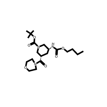 CCCCOC(=O)N[C@@H]1C[C@H](C(=O)N2CCOCC2)CN(C(=O)OC(C)(C)C)C1